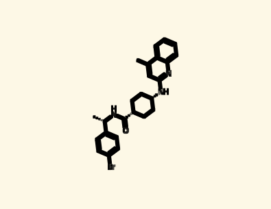 Cc1cc(N[C@H]2CC[C@@H](C(=O)N[C@@H](C)c3ccc(Br)cc3)CC2)nc2ccccc12